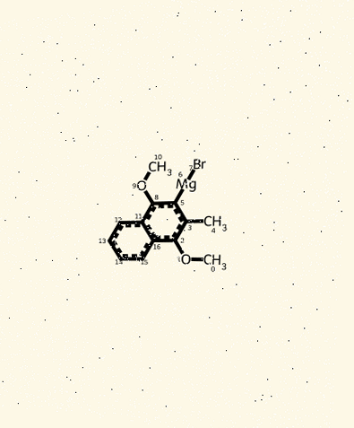 COc1c(C)[c]([Mg][Br])c(OC)c2ccccc12